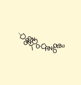 Cc1ccc(S(=O)(=O)n2cc(I)c3c(Oc4ccc(CNC(=O)OC(C)(C)C)cc4)ccnc32)cc1